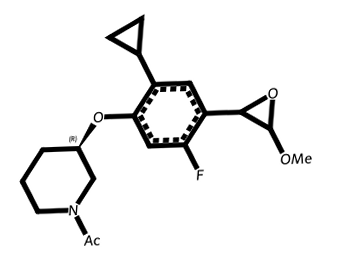 COC1OC1c1cc(C2CC2)c(O[C@@H]2CCCN(C(C)=O)C2)cc1F